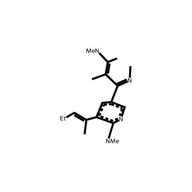 CC/C=C(\C)c1cc(C(=N/C)/C(C)=C(\C)NC)cnc1NC